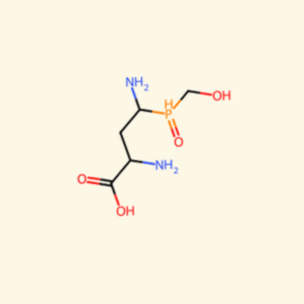 NC(CC(N)[PH](=O)CO)C(=O)O